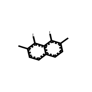 Cc1ccc2ccc(C)c(I)c2c1I